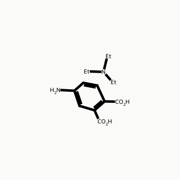 CCN(CC)CC.Nc1ccc(C(=O)O)c(C(=O)O)c1